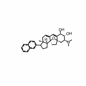 CN(C)[C@H]1C[C@@]23CC[C@@]4(O2)C(=CC[C@@]2(C)C(c5ccc6ccccc6c5)CC[C@H]24)C=C3[C@@H](O)[C@@H]1O